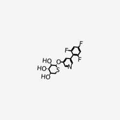 O[C@@H]1[C@@H](O)[C@H](Oc2cncc(-c3c(F)cc(F)cc3F)c2)SC[C@H]1O